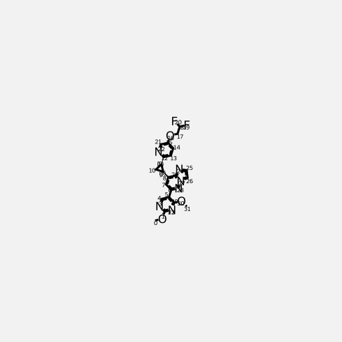 COc1ncc(-c2cc([C@H]3C[C@@H]3c3ccc(OCC(F)F)cn3)c3nccn3n2)c(OC)n1